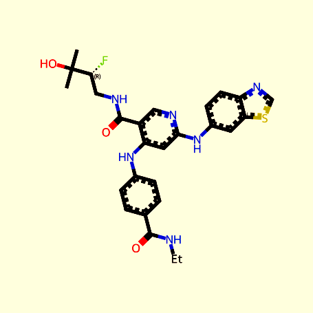 CCNC(=O)c1ccc(Nc2cc(Nc3ccc4ncsc4c3)ncc2C(=O)NC[C@@H](F)C(C)(C)O)cc1